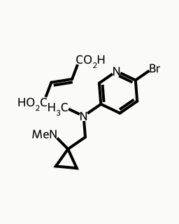 CNC1(CN(C)c2ccc(Br)nc2)CC1.O=C(O)/C=C/C(=O)O